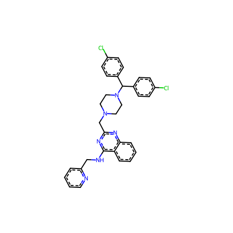 Clc1ccc(C(c2ccc(Cl)cc2)N2CCN(Cc3nc(NCc4ccccn4)c4ccccc4n3)CC2)cc1